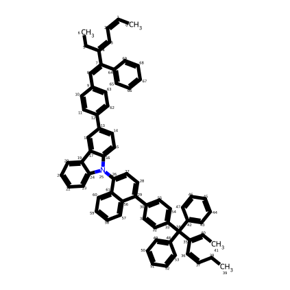 C\C=C/C=C(CC)/C(=C/c1ccc(-c2ccc3c(c2)c2ccccc2n3-c2ccc(-c3ccc(C(C(/C=C\CC)=C/C)(c4ccccc4)c4ccccc4)cc3)c3ccccc23)cc1)c1ccccc1